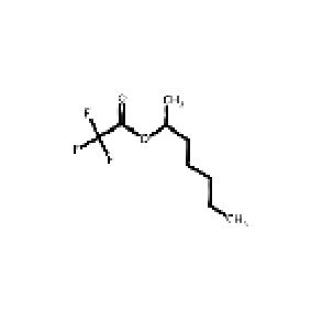 CCCCCC(C)OC(=O)C(F)(F)F